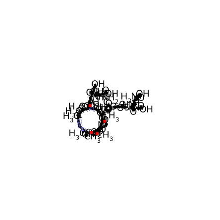 CO[C@H]1C[C@@H]2CC[C@@H](C)[C@@H](O2)C(=O)C(=O)N2CCCC[C@H]2C(=O)OC([C@H](C)C[C@@H]2CC[C@@H](OCCOC(=O)CSC[C@H](NC(=O)CC[C@H](N)C(=O)O)C(=O)NCC(=O)O)[C@H](OC)C2)CC(=O)[C@H](C)/C=C(\C)[C@@H](OC(=O)CSC[C@H](NC(=O)CC[C@H](N)C(=O)O)C(=O)NCCO)[C@@H](OC)C(=O)[C@H](C)C[C@@H](C)\C=C/C=C/C=C/1C